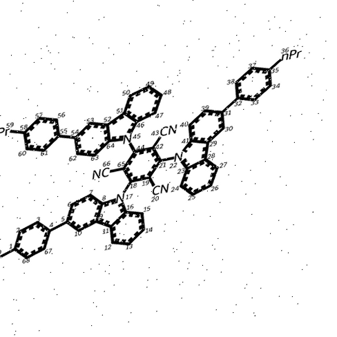 CCCc1ccc(-c2ccc3c(c2)c2ccccc2n3-c2c(C#N)c(-n3c4ccccc4c4cc(-c5ccc(CCC)cc5)ccc43)c(C#N)c(-n3c4ccccc4c4cc(-c5ccc(CCC)cc5)ccc43)c2C#N)cc1